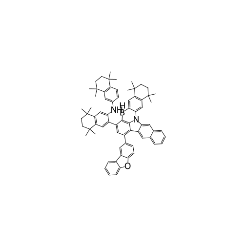 CC1(C)CCC(C)(C)c2cc(Nc3cc4c(cc3-c3cc(-c5ccc6oc7ccccc7c6c5)c5c6cc7ccccc7cc6n6c5c3Bc3cc5c(cc3-6)C(C)(C)CCC5(C)C)C(C)(C)CCC4(C)C)ccc21